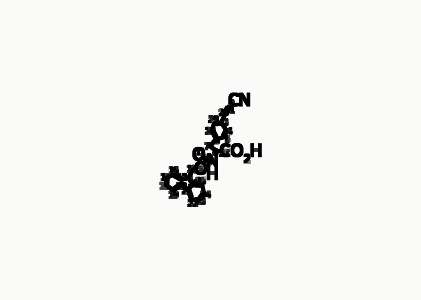 N#CC#Cc1ccc(CC(NC(=O)OCC2c3ccccc3-c3ccccc32)C(=O)O)cc1